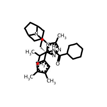 Cc1cc([C@H](CCN2C3CCC2CC(n2c(C)nnc2C(C)C)C3)NC(=O)C2CCCCC2)sc1C